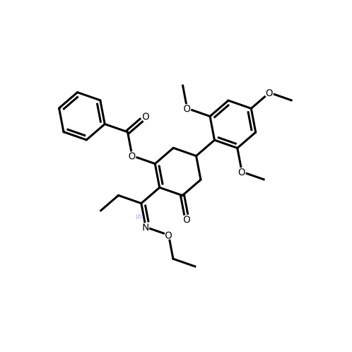 CCO/N=C(/CC)C1=C(OC(=O)c2ccccc2)CC(c2c(OC)cc(OC)cc2OC)CC1=O